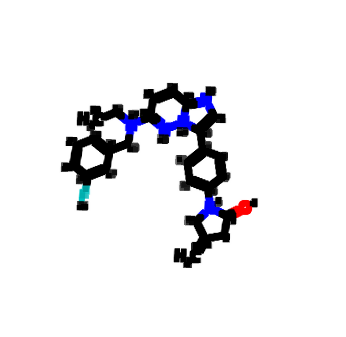 C=C1CC(=O)N(c2ccc(-c3cnc4ccc(N(CC)Cc5cccc(F)c5)nn34)cc2)C1